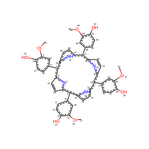 COc1cc(-c2c3nc(c(-c4ccc(O)c(OC)c4)c4ccc([nH]4)c(-c4ccc(O)c(OC)c4)c4nc(c(-c5ccc(O)c(OC)c5)c5ccc2[nH]5)C=C4)C=C3)ccc1O